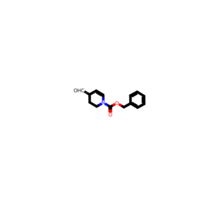 O=CC1C=CN(C(=O)OCc2ccccc2)CC1